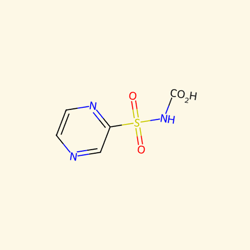 O=C(O)NS(=O)(=O)c1cnccn1